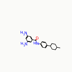 CC1CCC(c2ccc(NC(=O)c3cc(N)cc(N)c3)cc2)CC1